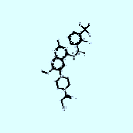 COc1nc2nc(C)nc(N[C@H](C)c3cccc(C(C)(F)F)c3F)c2cc1N1CCN(C(=O)CO)CC1